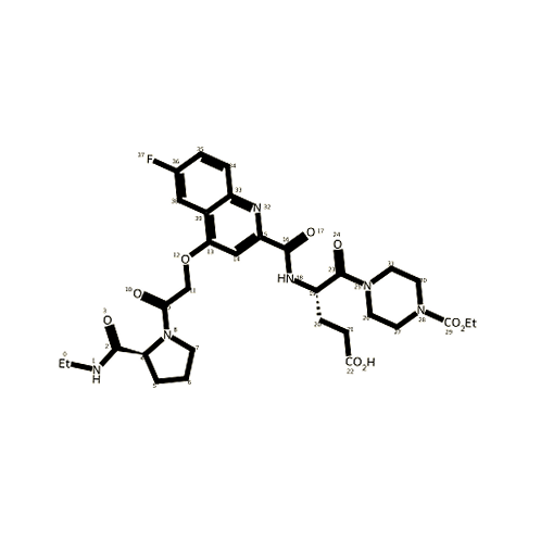 CCNC(=O)[C@@H]1CCCN1C(=O)COc1cc(C(=O)N[C@@H](CCC(=O)O)C(=O)N2CCN(C(=O)OCC)CC2)nc2ccc(F)cc12